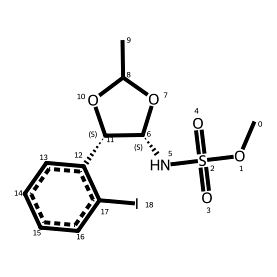 COS(=O)(=O)N[C@H]1OC(C)O[C@H]1c1ccccc1I